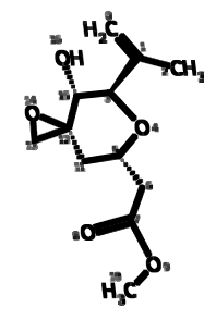 C=C(C)[C@H]1O[C@H](CC(=O)OC)C[C@@]2(CO2)[C@@H]1O